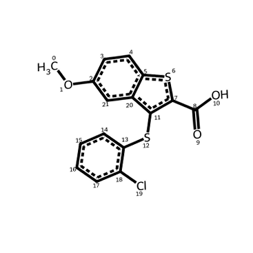 COc1ccc2sc(C(=O)O)c(Sc3ccccc3Cl)c2c1